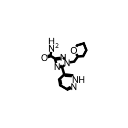 NC(=O)c1nc(C2=CNN=CC=C2)n(CC2CCCCO2)n1